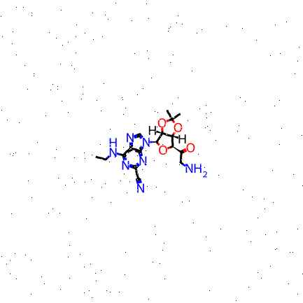 CCNc1nc(C#N)nc2c1ncn2[C@@H]1O[C@H](C(=O)CN)[C@H]2OC(C)(C)O[C@H]21